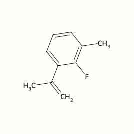 C=C(C)c1cccc(C)c1F